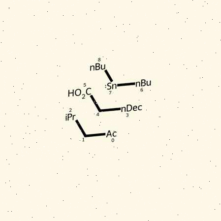 CC(=O)CC(C)C.CCCCCCCCCCCC(=O)O.CCC[CH2][Sn][CH2]CCC